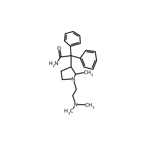 CC1C(C(C(N)=O)(c2ccccc2)c2ccccc2)CCN1CCN(C)C